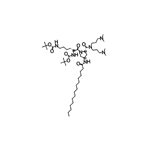 CCCCCCCCCCCCCCCC(=O)N[C@H]1C[C@@H](C(=O)N(CCCN(C)C)CCCN(C)C)N(C(=O)[C@@H](CCCCNC(=O)OC(C)(C)C)NC(=O)OC(C)(C)C)C1